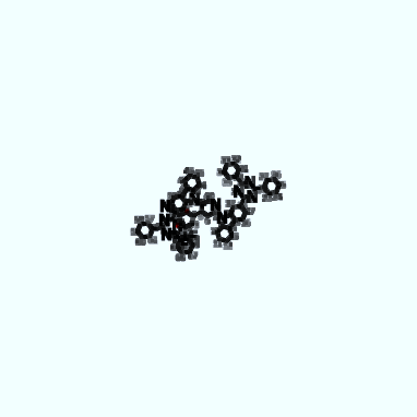 N#Cc1cc(-c2cc(-n3c4ccccc4c4ccc(-c5nc(-c6ccccc6)nc(-c6ccccc6)n5)cc43)ncc2-n2c3ccccc3c3ccc(-c4nc(-c5ccccc5)nc(-c5ccccc5)n4)cc32)cc(C(F)(F)F)c1